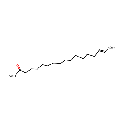 CCCCCCCC/C=C/CCCCCCCCCCCCCC(=O)OC